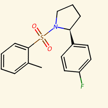 Cc1ccccc1S(=O)(=O)N1CCC[C@H]1c1ccc(F)cc1